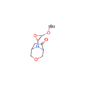 CC(C)(C)OC1OC1N1C2COCC1C(=O)C2